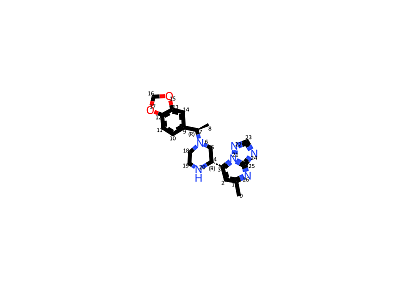 Cc1cc([C@H]2CN([C@H](C)c3ccc4c(c3)OCO4)CCN2)n2ncnc2n1